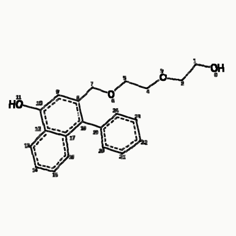 OCCOCCOCc1cc(O)c2ccccc2c1-c1ccccc1